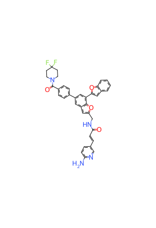 Nc1ccc(C=CC(=O)NCc2cc3cc(-c4ccc(C(=O)N5CCC(F)(F)CC5)cc4)cc(-c4cc5ccccc5o4)c3o2)cn1